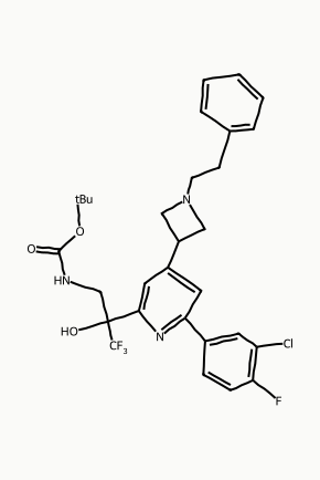 CC(C)(C)OC(=O)NCC(O)(c1cc(C2CN(CCc3ccccc3)C2)cc(-c2ccc(F)c(Cl)c2)n1)C(F)(F)F